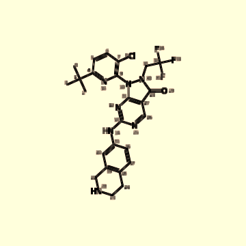 CC(C)(C)c1ccc(Cl)c(-n2c3nc(Nc4ccc5c(c4)CNCC5)ncc3c(=O)n2CC(F)(F)F)n1